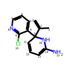 C=C(C)C1(c2cccnc2Cl)C=CC=C(N)N1